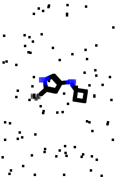 Cc1cc(NC2CCC2)c[nH]1